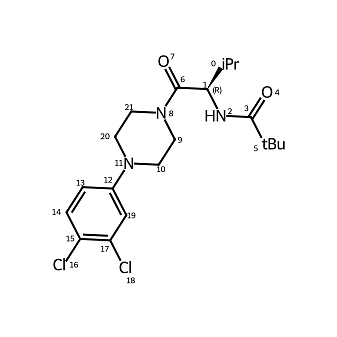 CC(C)[C@@H](NC(=O)C(C)(C)C)C(=O)N1CCN(c2ccc(Cl)c(Cl)c2)CC1